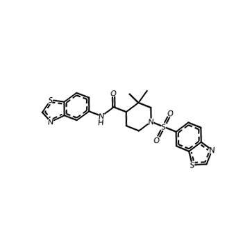 CC1(C)CN(S(=O)(=O)c2ccc3ncsc3c2)CCC1C(=O)Nc1ccc2scnc2c1